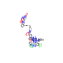 COc1cc(C(=O)N2CCCC3(CC2)C[C@@H]3C#Cc2cccc3c2CN([C@H]2CCC(=O)NC2=O)C3=O)ccc1NC(=O)[C@@H]1N[C@@H](CC(C)(C)C)[C@@]2(CNc3cc(Cl)ccc32)[C@H]1c1cccc(Cl)c1F